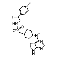 CN(c1ncnc2[nH]ccc12)[C@H]1CC[C@H](CS(=O)(=O)NCC(F)c2ccc(F)cc2)CC1